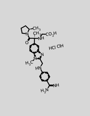 C[C@@H]1CCCN1C(=O)[C@@](C)(NCC(=O)O)c1ccc2c(c1)nc(CNc1ccc(C(=N)N)cc1)n2C.Cl.Cl